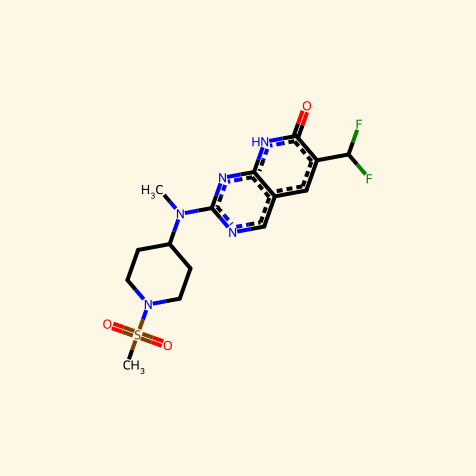 CN(c1ncc2cc(C(F)F)c(=O)[nH]c2n1)C1CCN(S(C)(=O)=O)CC1